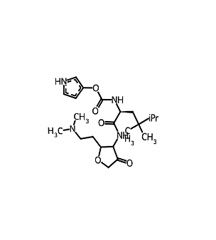 CC(C)C(C)(C)C[C@H](NC(=O)Oc1cc[nH]c1)C(=O)NC1C(=O)COC1CCN(C)C